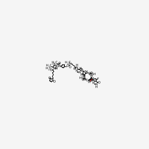 CC(C)[C@H](NC(=O)CCCCCN1C(=O)C=CC1=O)C(=O)N[C@@H](C)C(=O)Nc1ccc(COC(=O)N(C)CCCC(=O)Nc2ncnc3c2ncn3[C@@H]2O[C@@H]3CO[P@@](=O)(S)O[C@H]4C(n5cc(F)c6c(=O)[nH]cnc65)O[C@H](CO[P@@](=O)(S)O[C@H]3[C@H]2F)[C@H]4O)cc1